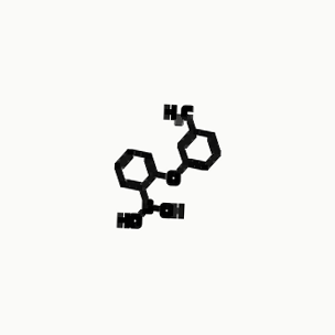 Cc1cccc(Oc2ccccc2B(O)O)c1